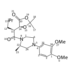 COc1ccc(N2CCN(C(=O)[C@@H](CC(C)C)[C@@H]3OC(C)(C)OC3=O)[C@H](C)C2)cc1OC